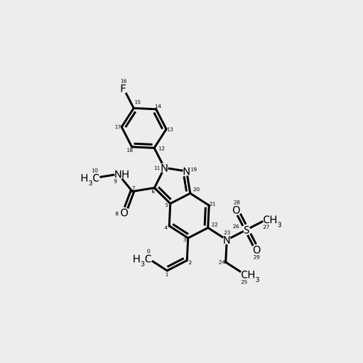 C/C=C\c1cc2c(C(=O)NC)n(-c3ccc(F)cc3)nc2cc1N(CC)S(C)(=O)=O